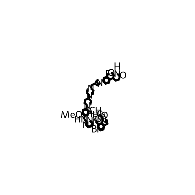 COc1cc(N2CCC(N3CCN(CC4CN(c5ccc(C6CCC(=O)NC6=O)c(F)c5)C4)CC3)CC2)c(C)cc1Nc1ncc(Br)c(Nc2cccc3c2N(S(C)(=O)=O)CC3)n1